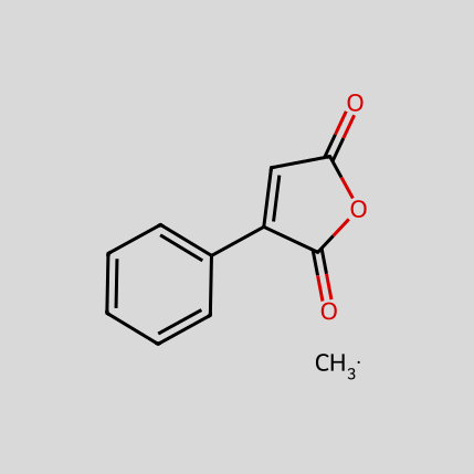 O=C1C=C(c2ccccc2)C(=O)O1.[CH3]